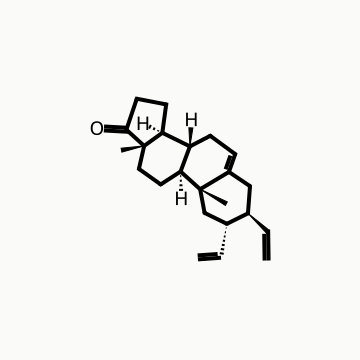 C=C[C@@H]1CC2=CC[C@@H]3[C@H](CC[C@]4(C)C(=O)CC[C@@H]34)[C@@]2(C)C[C@H]1C=C